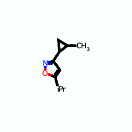 CC(C)c1cc(C2CC2C)no1